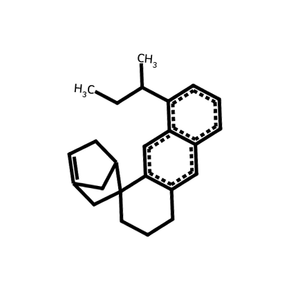 CCC(C)c1cccc2cc3c(cc12)C1(CCC3)CC2=CCC1C2